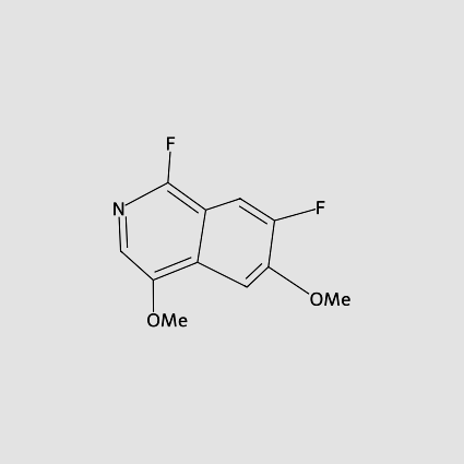 COc1cc2c(OC)cnc(F)c2cc1F